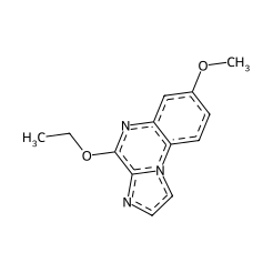 CCOc1nc2cc(OC)ccc2n2ccnc12